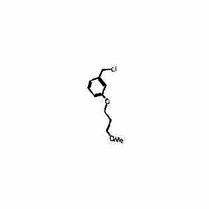 COCCCOc1cccc(CCl)c1